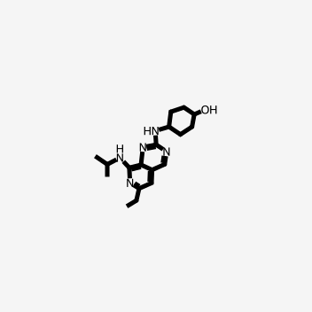 CCc1cc2cnc(NC3CCC(O)CC3)nc2c(NC(C)C)n1